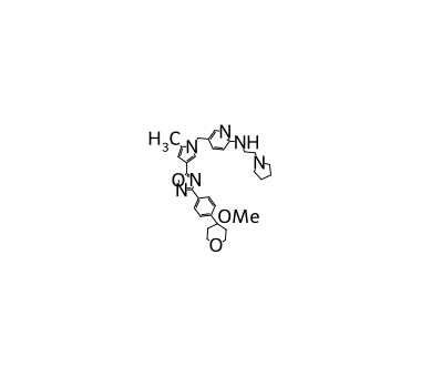 COC1(c2ccc(-c3noc(-c4cc(C)n(Cc5ccc(NCCN6CCCC6)nc5)c4)n3)cc2)CCOCC1